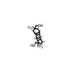 CC1(CO)CC2CC(C1)C1C3CC(C4CCC(C)(CO)C43)C21